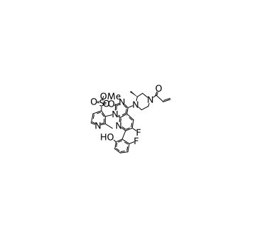 C=CC(=O)N1CCN(c2nc(=O)n(-c3c(S(=O)(=O)OC)ccnc3C)c3nc(-c4c(O)cccc4F)c(F)cc23)[C@@H](C)C1